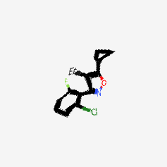 CCc1c(-c2c(F)cccc2Cl)noc1C1CC1